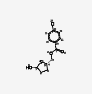 O=C(OC[C@@H]1CCC(O)S1)c1ccc(Cl)cc1